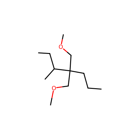 CCCC(COC)(COC)C(C)CC